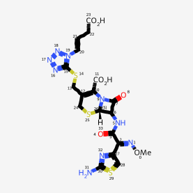 CON=C(C(=O)NC1C(=O)N2C(C(=O)O)=C(CSc3nnnn3C=CCC(=O)O)CS[C@@H]12)c1csc(N)n1